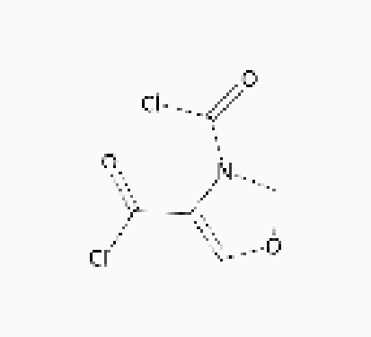 O=C(Cl)C1=COCN1C(=O)Cl